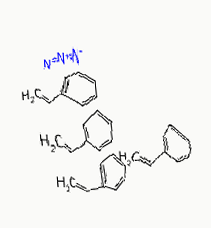 C=Cc1ccccc1.C=Cc1ccccc1.C=Cc1ccccc1.C=Cc1ccccc1.[N-]=[N+]=[N-]